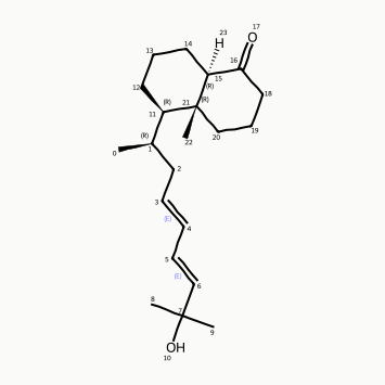 C[C@H](C/C=C/C=C/C(C)(C)O)[C@H]1CCC[C@H]2C(=O)CCC[C@]12C